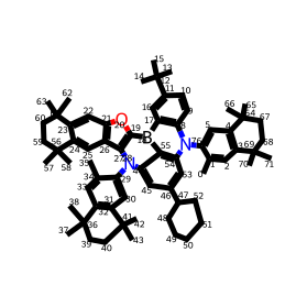 Cc1cc2c(cc1N1c3ccc(C(C)(C)C)cc3B3c4oc5cc6c(cc5c4N(c4cc5c(cc4C)C(C)(C)CCC5(C)C)c4cc(C5CCCCC5)cc1c43)C(C)(C)CCC6(C)C)C(C)(C)CCC2(C)C